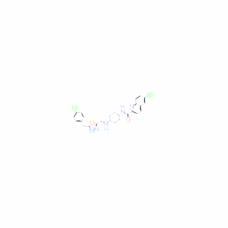 O=C(N[C@H]1CC[C@H](NCc2nnc(Cc3ccc(Cl)cc3)o2)CC1)c1ccc2cc(Cl)ccc2n1